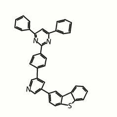 c1ccc(-c2cc(-c3ccccc3)nc(-c3ccc(-c4cncc(-c5ccc6sc7ccccc7c6c5)c4)cc3)n2)cc1